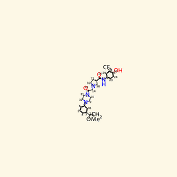 C=C(OC)c1cccc(N2CCN(C(=O)CN3CC[C@@H](C(=O)Nc4ccc(O)c(C(F)(F)F)c4)C3)CC2)c1